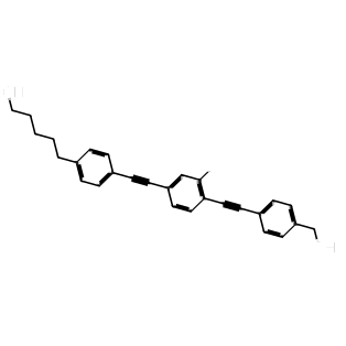 CCCCCCc1ccc(C#Cc2ccc(C#Cc3ccc(CC)cc3)c(F)c2)cc1